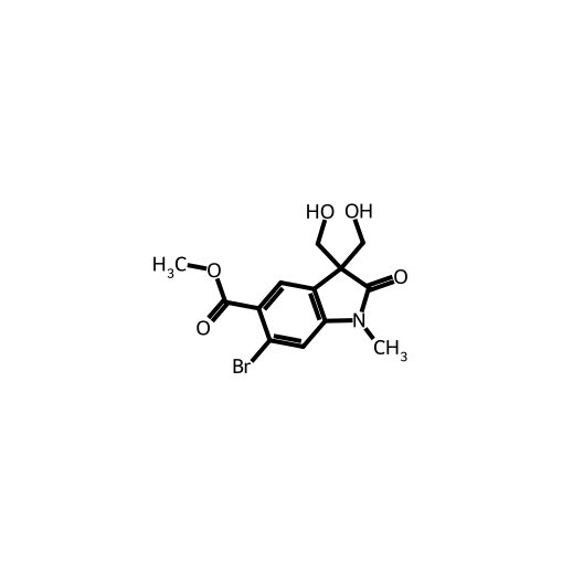 COC(=O)c1cc2c(cc1Br)N(C)C(=O)C2(CO)CO